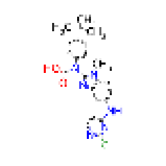 Cn1c(N(C(=O)O)c2ccc(C(C)(C)C)cc2)nc2cc(Nc3ccnc(Cl)n3)ccc21